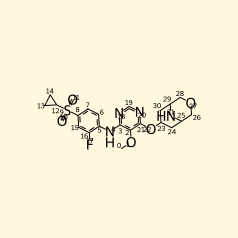 COc1c(Nc2ccc(S(=O)(=O)C3CC3)cc2F)ncnc1OC1CC2COCC(C1)N2